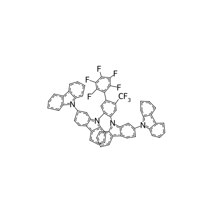 Fc1c(F)c(F)c(-c2cc(-n3c4ccccc4c4ccc(-n5c6ccccc6c6ccccc65)cc43)c(-n3c4ccccc4c4ccc(-n5c6ccccc6c6ccccc65)cc43)cc2C(F)(F)F)c(F)c1F